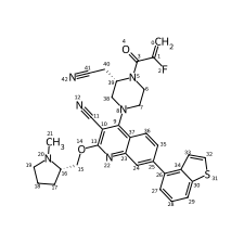 C=C(F)C(=O)N1CCN(c2c(C#N)c(OC[C@@H]3CCCN3C)nc3cc(-c4cccc5sccc45)ccc23)C[C@@H]1CC#N